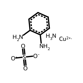 N.Nc1ccccc1N.O=S(=O)([O-])[O-].[Cu+2]